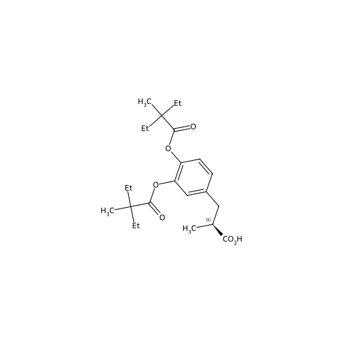 CCC(C)(CC)C(=O)Oc1ccc(C[C@H](C)C(=O)O)cc1OC(=O)C(C)(CC)CC